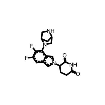 O=C1CCC(n2cc3cc(F)c(F)c(N4CC5CC4CN5)c3c2)C(=O)N1